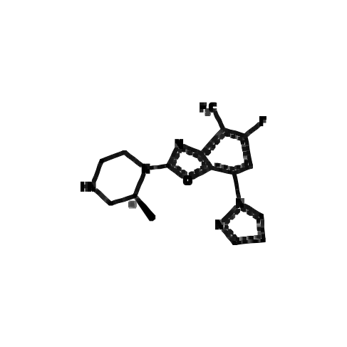 C[C@H]1CNCCN1c1nc2c(C(F)(F)F)c(F)cc(-n3cccn3)c2o1